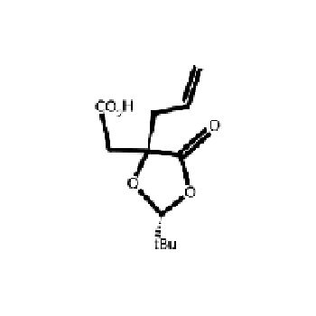 C=CC[C@]1(CC(=O)O)O[C@@H](C(C)(C)C)OC1=O